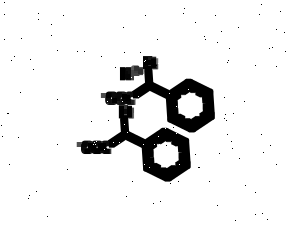 CCC(C(=O)[O-])c1ccccc1.CCC(C(=O)[O-])c1ccccc1.[Ni+2]